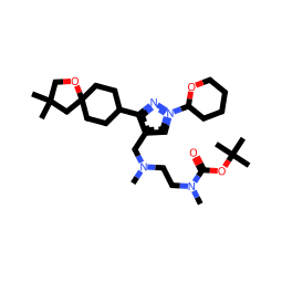 CN(CCN(C)C(=O)OC(C)(C)C)Cc1cn(C2CCCCO2)nc1C1CCC2(CC1)CC(C)(C)CO2